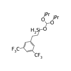 CC(C)OC(O[SiH2]CCc1cc(C(F)(F)F)cc(C(F)(F)F)c1)OC(C)C